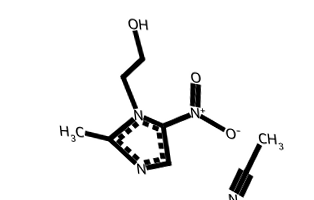 CC#N.Cc1ncc([N+](=O)[O-])n1CCO